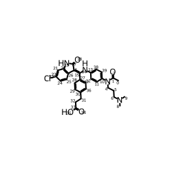 CC(=O)N(CCCN(C)C)c1ccc(N/C(=C2\C(=O)Nc3cc(Cl)ccc32)c2ccc(CCC(=O)O)cc2)cc1